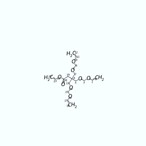 C=COCOCC(COCOC=C)(COCOC=C)CC(=O)OC=C